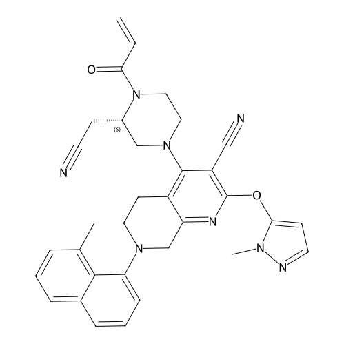 C=CC(=O)N1CCN(c2c(C#N)c(Oc3ccnn3C)nc3c2CCN(c2cccc4cccc(C)c24)C3)C[C@@H]1CC#N